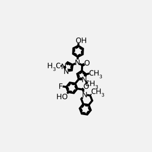 Cc1c(C(=O)N(c2ccc(O)cc2)c2cnn(C)c2)cc(-c2cc(F)c(O)cc2C(=O)N2Cc3ccccc3C[C@H]2C)n1C